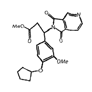 COC(=O)CC(c1ccc(OC2CCCC2)c(OC)c1)N1C(=O)c2ccncc2C1=O